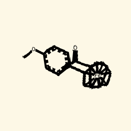 COc1ccc([C]23[CH]4[CH]5[CH]6[CH]2[Fe]56432789[CH]3[CH]2[CH]7[C]8(C(C)=O)[CH]39)cc1